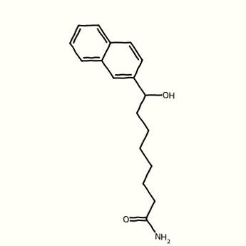 NC(=O)CCCCCCC(O)c1ccc2ccccc2c1